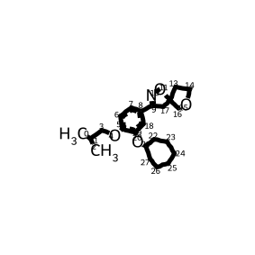 CC(C)COc1ccc(C2=NOC3(CCOC3)C2)cc1OC1CCCCCC1